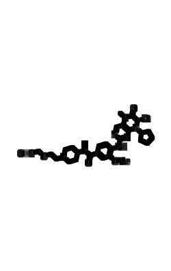 CC[C@@H]1C(=O)N(C)c2cnc(Nc3ccc(C(=O)NC4CCN(CCOCC=O)CC4)cc3OC)nc2N1C1CCCC1